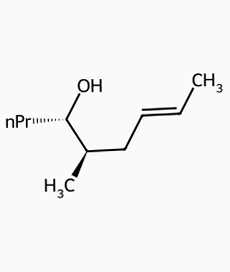 C/C=C/C[C@@H](C)[C@@H](O)CCC